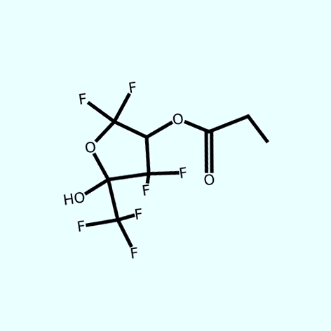 CCC(=O)OC1C(F)(F)OC(O)(C(F)(F)F)C1(F)F